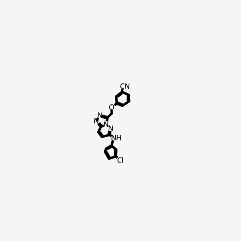 N#Cc1cccc(OCc2nnc3ccc(Nc4cccc(Cl)c4)nn23)c1